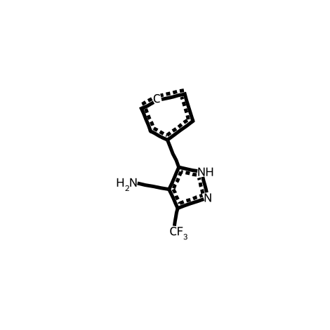 Nc1c(C(F)(F)F)n[nH]c1-c1ccccc1